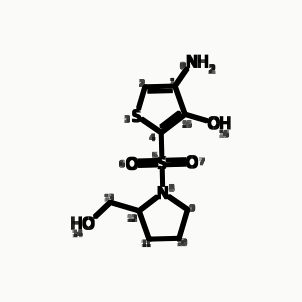 Nc1csc(S(=O)(=O)N2CCCC2CO)c1O